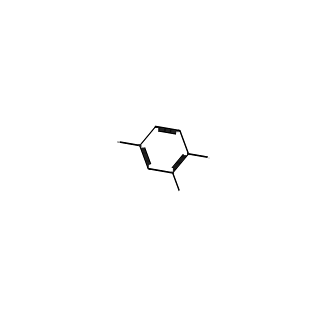 [Li][c]1cc(C(C)(C)C)ccc1O